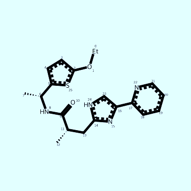 CCOc1ccc([C@@H](C)NC(=O)[C@@H](C)Cc2nc(-c3ccccn3)c[nH]2)s1